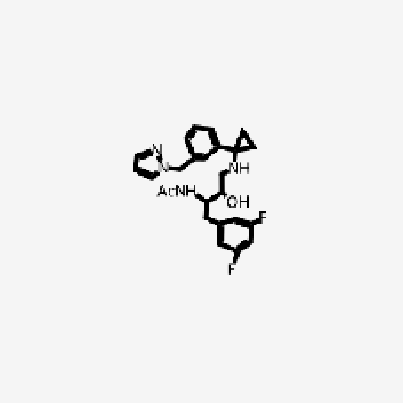 CC(=O)NC(Cc1cc(F)cc(F)c1)C(O)CNC1(c2cccc(Cn3cccn3)c2)CC1